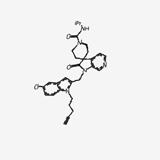 C#CCCCn1c(CN2C(=O)C3(CCN(C(=O)NC(C)C)CC3)c3ccncc32)cc2cc(Cl)ccc21